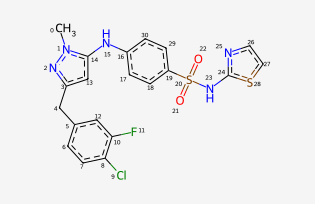 Cn1nc(Cc2ccc(Cl)c(F)c2)cc1Nc1ccc(S(=O)(=O)Nc2nccs2)cc1